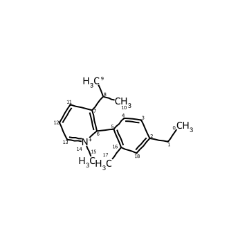 CCc1ccc(-c2c(C(C)C)ccc[n+]2C)c(C)c1